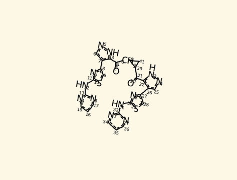 CC(=O)c1[nH]ncc1-c1csc(Nc2ncccn2)n1.O=C(c1[nH]ncc1-c1csc(Nc2ncccn2)n1)C1CC1